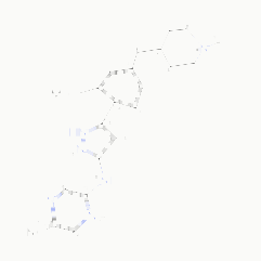 COc1cc(CC2CCN(C(C)C)CC2)ccc1-c1cc(Nc2cnc(C#N)cn2)n[nH]1